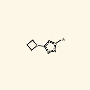 CCCn1cc(N2CCC2)nn1